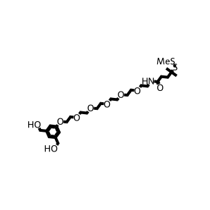 CSSC(C)(C)CCC(=O)NCCOCCOCCOCCOCCOCCOc1cc(CO)cc(CO)c1